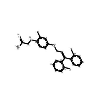 Cc1cc(SCC=C(c2ccccc2C)c2ccccc2C)ccc1OCC(=O)O